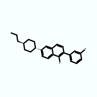 CCC[C@H]1CC[C@H](c2ccc3c(F)c(-c4cccc(F)c4)ccc3c2)CC1